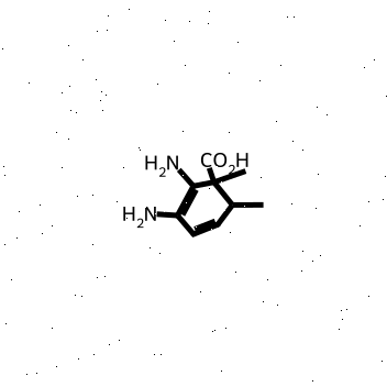 CC1C=CC(N)=C(N)C1(C)C(=O)O